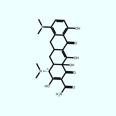 CN(C)c1ccc(O)c2c1CC1CC3[C@@H](N(C)C)C(O)=C(C(N)=O)C(=O)C3(O)C(O)=C1C2=O